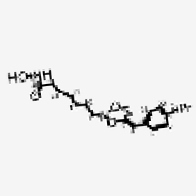 CC(C)c1ccc(C=C2ON(CCCCCCC(=O)NO)OS2)cc1